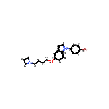 Brc1ccc(-n2ccc3cc(OCCCCN4CCC4)ccc32)cc1